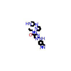 C=CCn1c(=O)c2cnc(Nc3ccc4c(cnn4C)c3)nc2n1-c1cccc(N(C)C2CCNCC2)n1